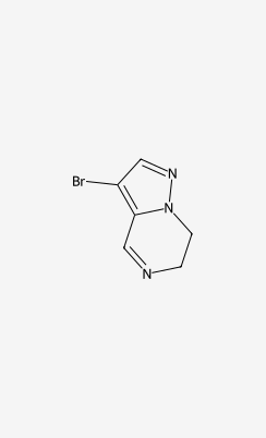 Brc1cnn2c1C=NCC2